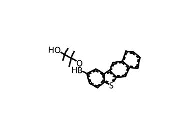 CC(C)(O)C(C)(C)OBc1ccc2sc3cc4ccccc4cc3c2c1